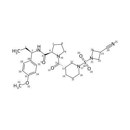 CC[C@@H](NC(=O)[C@H]1CCCN1C(=O)[C@H]1CCCN(S(=O)(=O)N2CC(C#N)C2)C1)c1ccc(OC)cc1